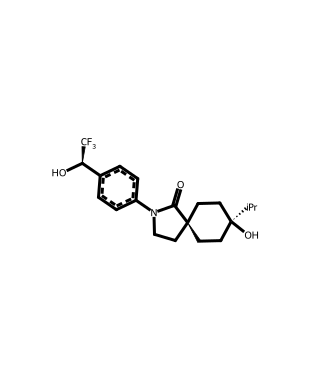 CC(C)[C@]1(O)CC[C@]2(CCN(c3ccc([C@@H](O)C(F)(F)F)cc3)C2=O)CC1